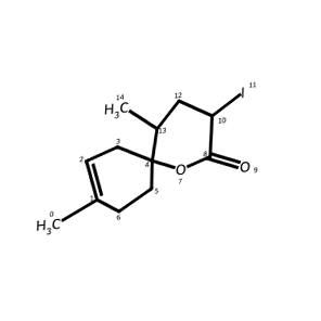 CC1=CCC2(CC1)OC(=O)C(I)CC2C